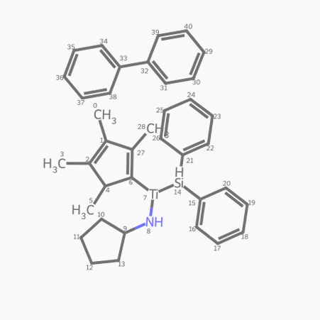 CC1=C(C)C(C)[C]([Ti]([NH]C2CCCC2)[SiH](c2ccccc2)c2ccccc2)=C1C.c1ccc(-c2ccccc2)cc1